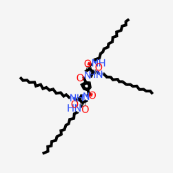 CCCCCCCCCCCCCCCCNC(=O)[C@@H]1CN(C(=O)c2ccc(C(=O)N3C[C@@H](C(=O)NCCCCCCCCCCCCCCCC)[C@H](C(=O)NCCCCCCCCCCCCCCCC)C3)cc2)C[C@H]1C(=O)NCCCCCCCCCCCCCCCC